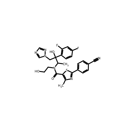 Cc1nc(-c2ccc(C#N)cc2)sc1C(=O)N(CCO)C(C)C(O)(Cn1cncn1)c1ccc(F)cc1F